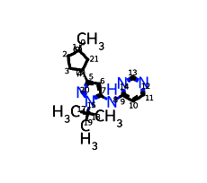 C[C@@H]1CC[C@H](c2cc(Nc3ccncn3)n(C(C)(C)C)n2)C1